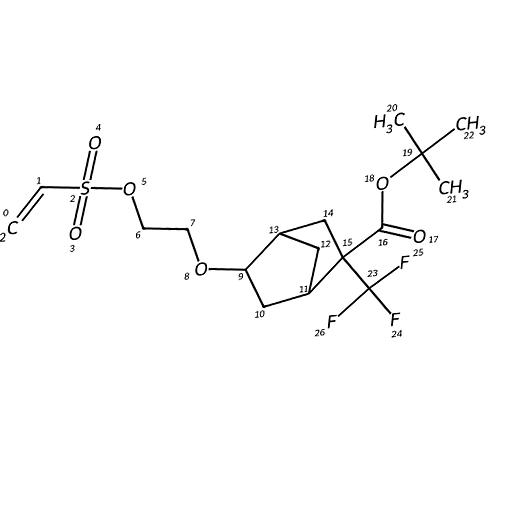 C=CS(=O)(=O)OCCOC1CC2CC1CC2(C(=O)OC(C)(C)C)C(F)(F)F